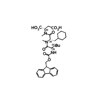 CC[C@H](C)[C@H](NC(=O)OCC1c2ccccc2-c2ccccc21)C(=O)N(C)[C@@H](CC1CCCCC1)C(=O)N(C)[C@@H](CC(=O)O)C(=O)O